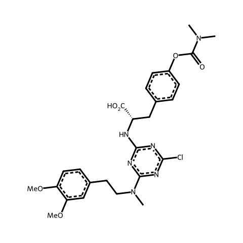 COc1ccc(CCN(C)c2nc(Cl)nc(N[C@@H](Cc3ccc(OC(=O)N(C)C)cc3)C(=O)O)n2)cc1OC